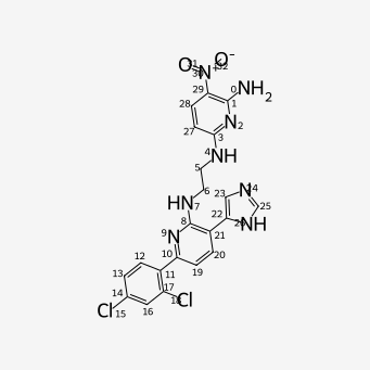 Nc1nc(NCCNc2nc(-c3ccc(Cl)cc3Cl)ccc2-c2cnc[nH]2)ccc1[N+](=O)[O-]